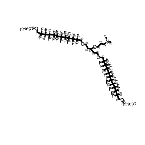 CCCCCCCOCC(F)(F)C(F)(F)C(F)(F)C(F)(F)C(F)(F)C(F)(F)C(F)(F)C(F)(F)C(F)(F)C(F)(F)COCCC(CCOCC(F)(F)C(F)(F)C(F)(F)C(F)(F)C(F)(F)C(F)(F)C(F)(F)C(F)(F)C(F)(F)C(F)(F)COCCCCCCC)OCCCN(C)C